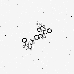 C[C@H](OC(=O)N=C(N)N1CCC(CN([C@H](Cc2ccccc2)C(=O)N2CCC[C@H]2C(N)=O)S(C)(=O)=O)CC1)[C@H](C)OC(=O)c1ccccc1